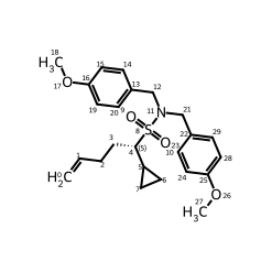 C=CCC[C@@H](C1CC1)S(=O)(=O)N(Cc1ccc(OC)cc1)Cc1ccc(OC)cc1